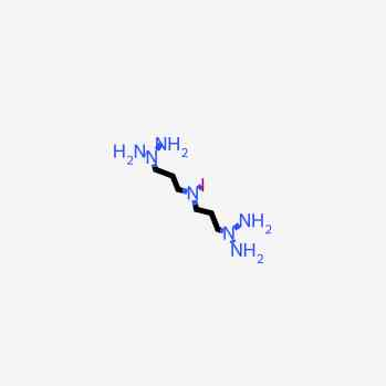 NN(N)CCCN(I)CCCN(N)N